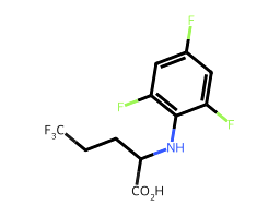 O=C(O)C(CCC(F)(F)F)Nc1c(F)cc(F)cc1F